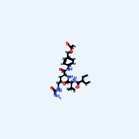 CCC(CC)C(=O)NC(C(=O)N[C@@H](CCCNC(N)=O)C(=O)Nc1ccc(COC(C)=O)cc1)C(C)C